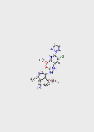 COc1nc(-n2nccn2)c(Cl)cc1NC(=O)Nc1cnc(C)c(C#N)c1[C@H](C)OC